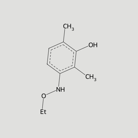 CCONc1ccc(C)c(O)c1C